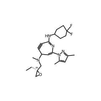 CC[C@@]1(CN(C)C2C#CC(NC3CCC(F)(F)CC3)=NC(n3nc(C)cc3C)=C2)CO1